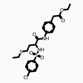 CCOC(=O)Cc1ccc(NC(=O)C(CCSCC)NS(=O)(=O)c2ccc(Cl)cc2)cc1